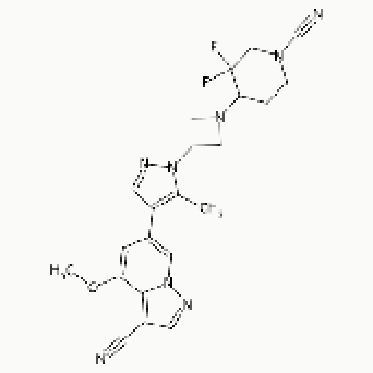 COc1cc(-c2cnn(C3CN(C4CCN(C#N)CC4(F)F)C3)c2C)cn2ncc(C#N)c12